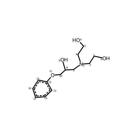 OCCN(CCO)CC(O)COc1ccccc1